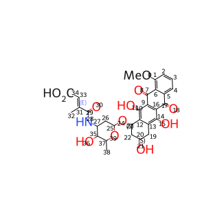 COc1cccc2c1C(=O)c1c(O)c3c(c(O)c1C2=O)C[C@H](O)C[C@@H]3OC1CC(NC(=O)/C(C)=C/C(=O)O)C(O)C(C)O1